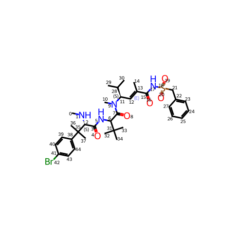 CN[C@H](C(=O)NC(C(=O)N(C)[C@H](/C=C(\C)C(=O)NS(=O)(=O)Cc1ccccc1)C(C)C)C(C)(C)C)C(C)(C)c1ccc(Br)cc1